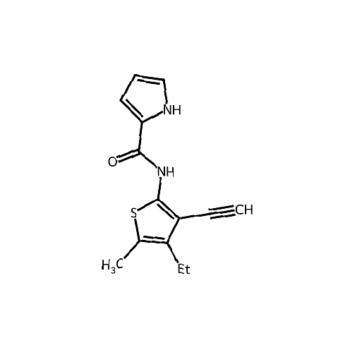 C#Cc1c(NC(=O)c2ccc[nH]2)sc(C)c1CC